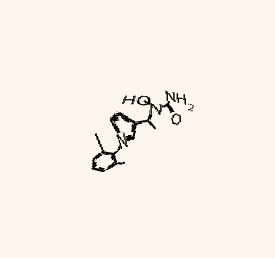 Cc1cccc(C)c1-n1ccc(C(C)N(O)C(N)=O)c1